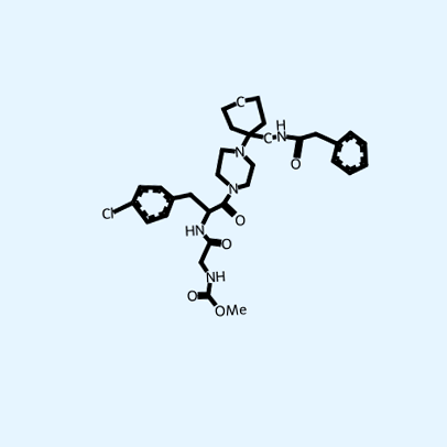 COC(=O)NCC(=O)NC(Cc1ccc(Cl)cc1)C(=O)N1CCN(C2(CNC(=O)Cc3ccccc3)CCCCC2)CC1